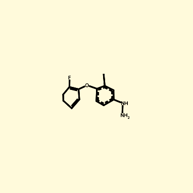 Cc1cc(NN)ccc1OC1=C(F)CCC=C1